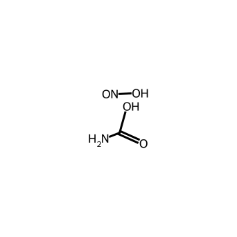 NC(=O)O.O=NO